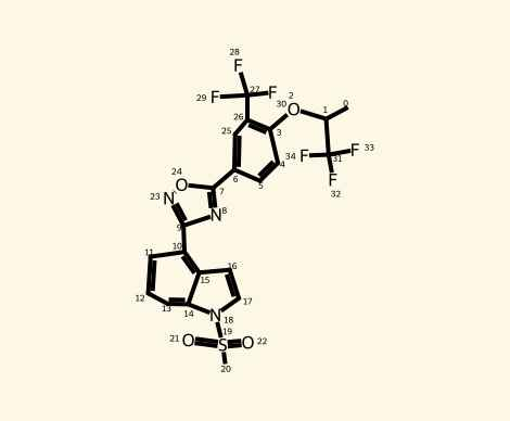 CC(Oc1ccc(-c2nc(-c3cccc4c3ccn4S(C)(=O)=O)no2)cc1C(F)(F)F)C(F)(F)F